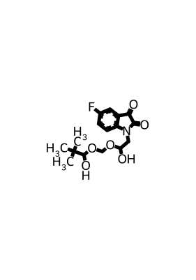 CC(C)(C)C(O)OCOC(O)CN1C(=O)C(=O)c2cc(F)ccc21